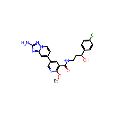 CCOc1ncc(-c2ccn3nc(N)nc3c2)cc1C(=O)NCC[C@H](O)c1ccc(Cl)cc1